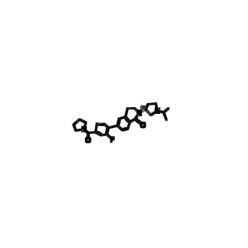 CC(C)N1CC[C@@H](N2CCc3cc(-c4ccc(C(=O)N5CCCC5)cc4F)ccc3C2=O)C1